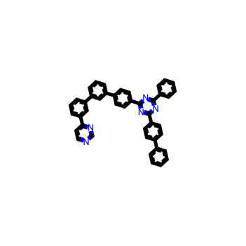 c1ccc(-c2ccc(-c3nc(-c4ccccc4)nc(-c4ccc(-c5cccc(-c6cccc(-c7ccncn7)c6)c5)cc4)n3)cc2)cc1